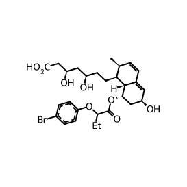 CCC(Oc1ccc(Br)cc1)C(=O)O[C@H]1C[C@H](O)C=C2C=C[C@H](C)[C@H](CC[C@@H](O)C[C@@H](O)CC(=O)O)[C@H]21